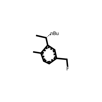 CCCC[C@@H](C)c1cc(CF)ccc1C